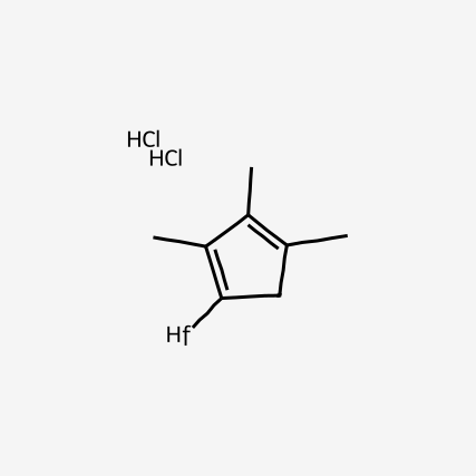 CC1=C(C)C(C)=[C]([Hf])C1.Cl.Cl